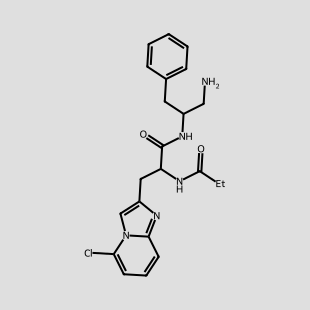 CCC(=O)NC(Cc1cn2c(Cl)cccc2n1)C(=O)NC(CN)Cc1ccccc1